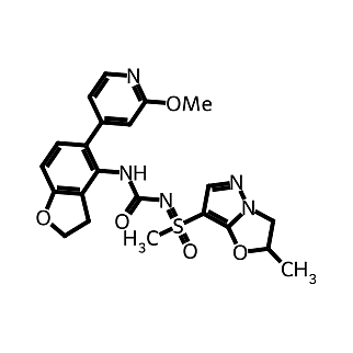 COc1cc(-c2ccc3c(c2NC(=O)N=S(C)(=O)c2cnn4c2OC(C)C4)CCO3)ccn1